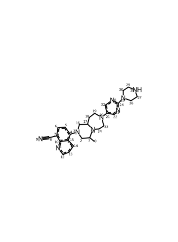 CC1CN(c2ccc(C#N)c3ncccc23)CC2CCN(c3cnc(N4CCNCC4)nc3)CCN12